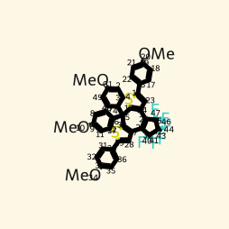 COC1=CCC(C2(c3ccc(OC)cc3)c3sc(-c4ccc(OC)cc4)cc3C3=C(c4cc(-c5ccc(OC)cc5)sc42)C(F)(F)C(F)(F)C3(F)F)C=C1